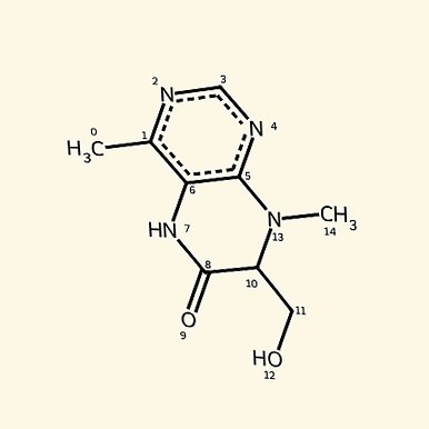 Cc1ncnc2c1NC(=O)C(CO)N2C